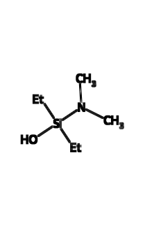 CC[Si](O)(CC)N(C)C